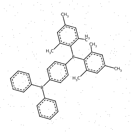 Cc1cc(C)c(B(c2ccc(B(c3ccccc3)c3ccccc3)cc2)c2c(C)cc(C)cc2C)c(C)c1